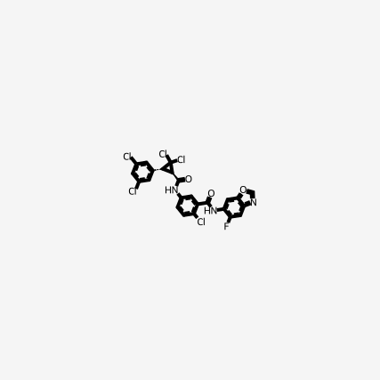 O=C(Nc1cc2ocnc2cc1F)c1cc(NC(=O)[C@H]2[C@H](c3cc(Cl)cc(Cl)c3)C2(Cl)Cl)ccc1Cl